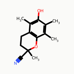 Cc1c(C)c2c(c(C)c1O)CCC(C)(C#N)O2